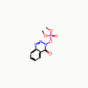 COP(=O)(OC)On1nnc2ccccc2c1=O